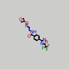 O=C(NCC=NOC1COC1)c1ccc(-c2noc(C(F)(F)F)n2)cc1